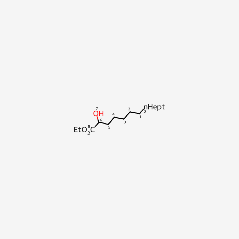 CCCCCCCCCCCCC(O)C(=O)OCC